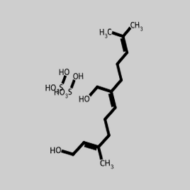 CC(C)=CCCC(=CCCC(C)=CCO)CO.O=S(=O)(O)O.O=S(=O)(O)O